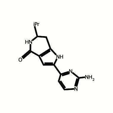 CC(C)C1Cc2[nH]c(-c3ccnc(N)n3)cc2C(=O)N1